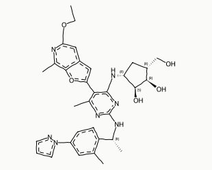 CCOc1cc2cc(-c3c(C)nc(N[C@H](C)c4ccc(-n5cccn5)cc4C)nc3N[C@@H]3C[C@H](CO)[C@@H](O)[C@H]3O)oc2c(C)n1